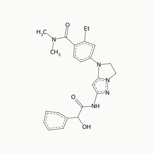 CCc1cc(N2CCn3nc(NC(=O)C(O)c4ccccc4)cc32)ccc1C(=O)N(C)C